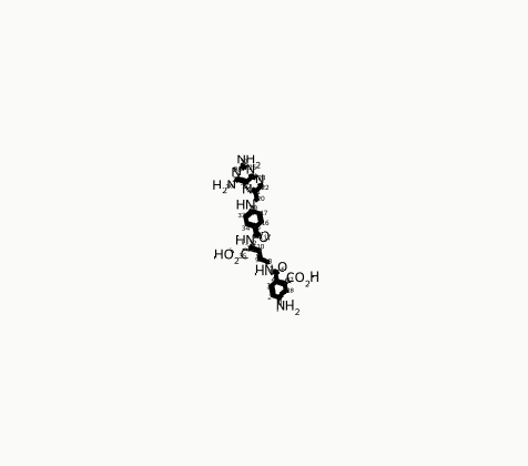 Nc1ccc(C(=O)NCCC[C@H](NC(=O)c2ccc(NCc3cnc4nc(N)nc(N)c4n3)cc2)C(=O)O)c(C(=O)O)c1